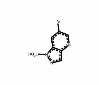 O=C(O)n1ncc2ncc(Br)cc21